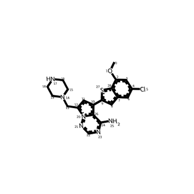 COc1cc(Cl)cc2cc(-c3cc(CN4CCNCC4)n4ncnc(N)c34)sc12